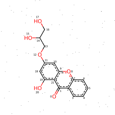 O=c1c2ccccc2oc2cc(OCC(O)CO)cc(O)c12